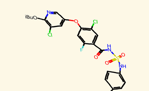 CC(C)COc1ncc(Oc2cc(F)c(C(=O)NS(=O)(=O)Nc3ccc(C#N)cc3)cc2Cl)cc1Cl